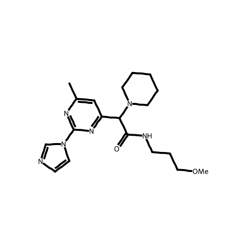 COCCCNC(=O)C(c1cc(C)nc(-n2ccnc2)n1)N1CCCCC1